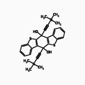 C[Si](C)(C)C#CC1(O)c2sc3ccccc3c2C(O)(C#C[Si](C)(C)C)c2sc3ccccc3c21